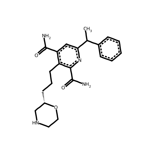 CC(c1ccccc1)c1cc(C(N)=O)c(CCC[C@H]2CNCCO2)c(C(N)=O)n1